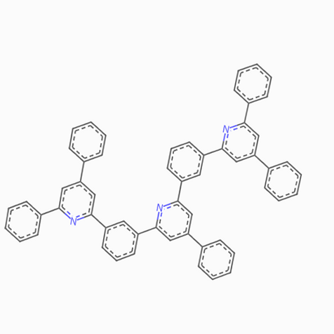 c1ccc(-c2cc(-c3ccccc3)nc(-c3cccc(-c4cc(-c5ccccc5)cc(-c5cccc(-c6cc(-c7ccccc7)cc(-c7ccccc7)n6)c5)n4)c3)c2)cc1